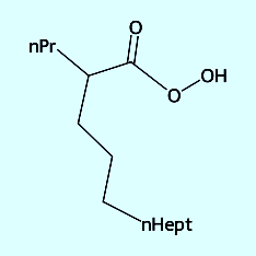 CCCCCCCCCCC(CCC)C(=O)OO